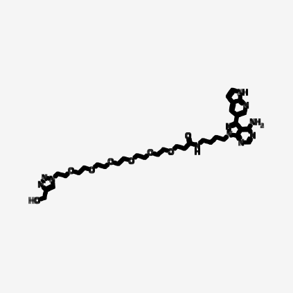 Nc1ncnc2c1c(-c1cnc3[nH]ccc3c1)nn2CCCCNC(=O)CCOCCOCCOCCOCCOCCOCCn1cc(CO)nn1